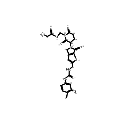 Cc1ccc(NC(=O)NCc2cc3c(s2)C(=O)N(C2CCC(=O)N(COC(=O)CN)C2=O)C3)cc1Cl